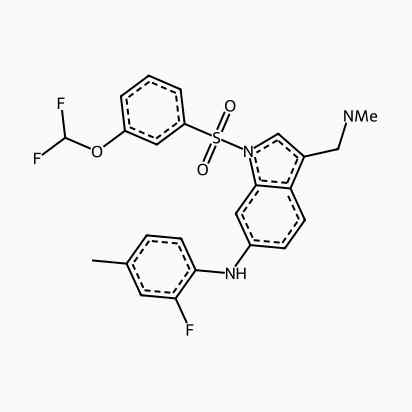 CNCc1cn(S(=O)(=O)c2cccc(OC(F)F)c2)c2cc(Nc3ccc(C)cc3F)ccc12